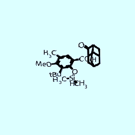 COc1c(C)cc(C(=O)O)c(O[SiH](C)C)c1C(C)(C)C.O=C1C2CC3CC(C2)CC1C3